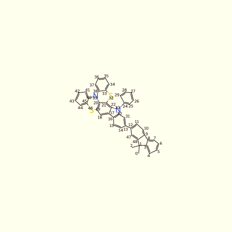 CC1(C)c2ccccc2-c2ccc(-c3ccc4c5cc6c7c(c5n(-c5ccccc5)c4c3)Sc3ccccc3N7c3ccccc3S6)cc21